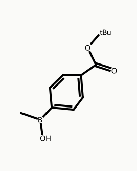 CB(O)c1ccc(C(=O)OC(C)(C)C)cc1